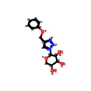 OC1COC(n2cc(COc3ccccc3)nn2)C(O)C1O